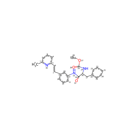 Cc1cccc(C=Cc2cccc(NC(=O)C(Cc3ccccc3)NC(=O)OC(C)(C)C)c2)n1